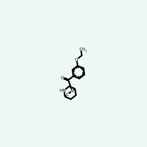 CCOc1cccc(C(=O)N2CC3CCC2CN3)c1